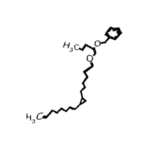 CCCCCCCCC1CC1CCCCCCOCC(CCC)OCc1ccccc1